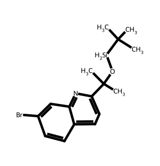 CC(C)(C)[SiH2]OC(C)(C)c1ccc2ccc(Br)cc2n1